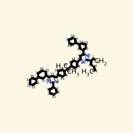 C=C/C(=C\C=C/C)c1nc(-c2ccc(C(C)(C)c3ccc(-c4cc(-c5cccc(-c6ccccc6)c5)nc(-c5ccccc5)n4)cc3)cc2)cc(-c2cccc(-c3ccccc3)c2)n1